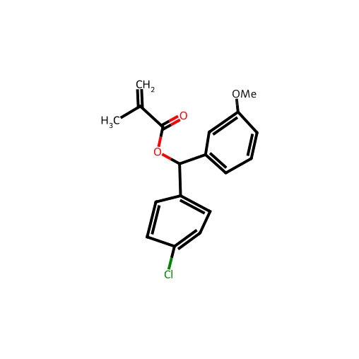 C=C(C)C(=O)OC(c1ccc(Cl)cc1)c1cccc(OC)c1